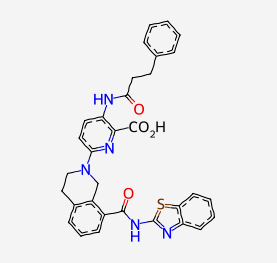 O=C(CCc1ccccc1)Nc1ccc(N2CCc3cccc(C(=O)Nc4nc5ccccc5s4)c3C2)nc1C(=O)O